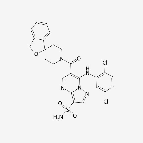 NS(=O)(=O)c1cnn2c(Nc3cc(Cl)ccc3Cl)c(C(=O)N3CCC4(CC3)OCc3ccccc34)cnc12